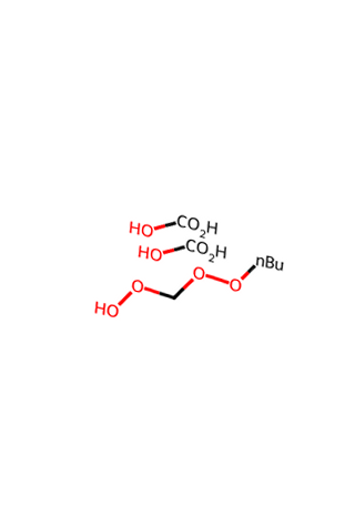 CCCCOOCOO.O=C(O)O.O=C(O)O